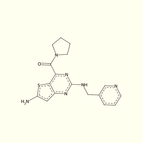 Nc1cc2nc(NCc3cccnc3)nc(C(=O)N3CCCC3)c2s1